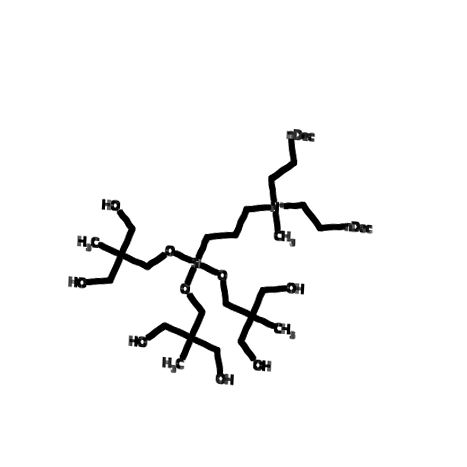 CCCCCCCCCCCC[N+](C)(CCCCCCCCCCCC)CCC[Si](OCC(C)(CO)CO)(OCC(C)(CO)CO)OCC(C)(CO)CO